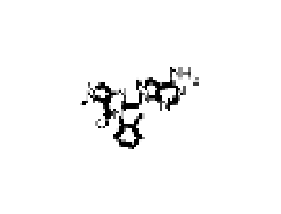 Cc1ccccc1-n1c(Cn2ncc3c(N)ncnc32)nc2cnn(C)c2c1=O